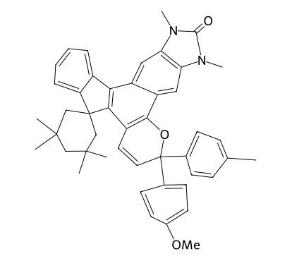 COc1ccc(C2(c3ccc(C)cc3)C=Cc3c4c(c5cc6c(cc5c3O2)n(C)c(=O)n6C)-c2ccccc2C42CC(C)(C)CC(C)(C)C2)cc1